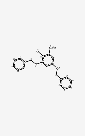 COc1cc(OCc2ccccc2)cc(OCc2ccccc2)c1C(C)=O